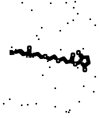 O=C(C=CBr)NCCOCCOCCC(=O)ON1C(=O)CCC1=O